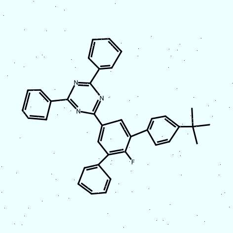 CC(C)(C)c1ccc(-c2cc(-c3nc(-c4ccccc4)nc(-c4ccccc4)n3)cc(-c3ccccc3)c2F)cc1